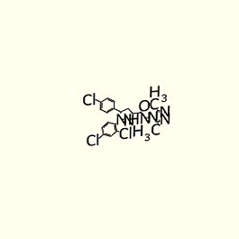 Cc1nnc(C)n1NC(=O)C1=NN(c2ccc(Cl)cc2Cl)C(c2ccc(Cl)cc2)C1